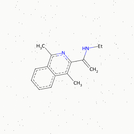 C=C(NCC)c1nc(C)c2ccccc2c1C